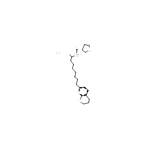 O=C(O)C(CCCCCCCc1ccc2c(n1)NCCC2)NC(=O)[C@@H]1CCOC1